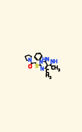 CC(=N)c1c(C)nc(SCC(=O)N2CCCC2)n(-c2ccccc2)c1=N